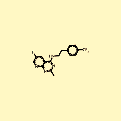 Cc1nc(NCCc2ccc(C(F)(F)F)cc2)c2cc(F)cnc2n1